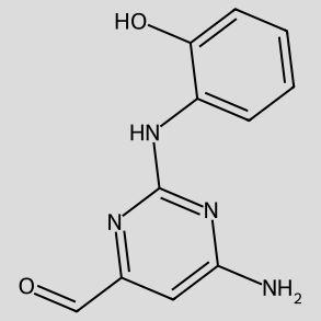 Nc1cc(C=O)nc(Nc2ccccc2O)n1